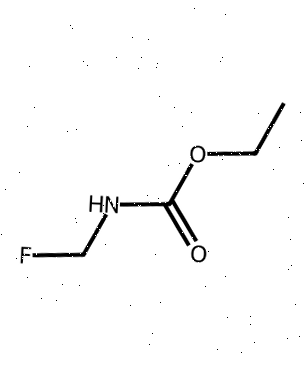 CCOC(=O)NCF